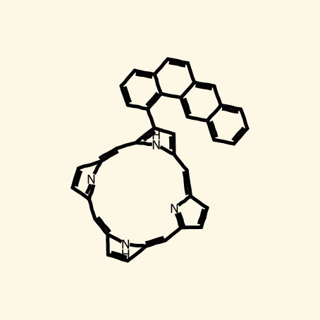 C1=Cc2cc3cc(-c4cccc5ccc6cc7ccccc7cc6c45)c(cc4nc(cc5ccc(cc1n2)[nH]5)C=C4)[nH]3